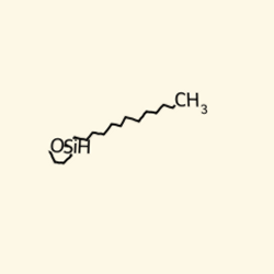 CCCCCCCCCCCCC[SiH]1CCCCO1